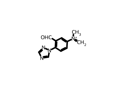 C=[N+](C)c1ccc(-n2cncn2)c(C=O)c1